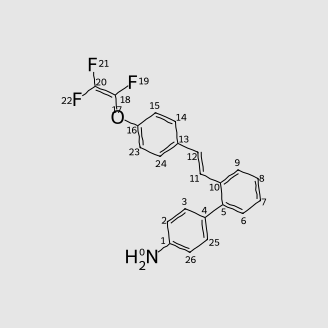 Nc1ccc(-c2ccccc2C=Cc2ccc(OC(F)=C(F)F)cc2)cc1